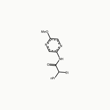 CCCC(CC)C(=O)Nc1cnc(OC)cn1